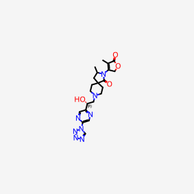 CC1=C(N2C(=O)C3(CCN(C[C@@H](O)c4cnc(-n5cnnn5)cn4)CC3)CC2C)COC1=O